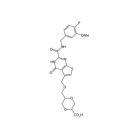 COc1cc(CNC(=O)c2nc3scc(COCC4COC(C(=O)O)CO4)c3c(=O)[nH]2)ccc1F